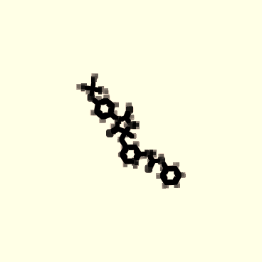 CC1(Cc2ccnc(NC(=O)Oc3ccccc3)c2)NC(=O)N(c2ccc(OC(F)(F)F)cc2)C1=O